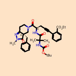 CCOC(=O)c1ccccc1C#CC[C@@H](NC(=O)C(C)(C)NC(=O)OC(C)(C)C)C(=O)N1CCC2=NN(C)C(=O)[C@]2(Cc2ccccc2)C1